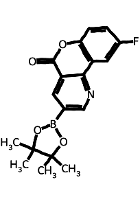 CC1(C)OB(c2cnc3c(c2)c(=O)oc2ccc(F)cc23)OC1(C)C